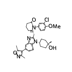 COc1ccc(N2C(=O)CCC[C@H]2Cc2nc3cc(-c4c(C)noc4C)ccc3n2[C@H]2CC[C@@](C)(O)CC2)cc1Cl